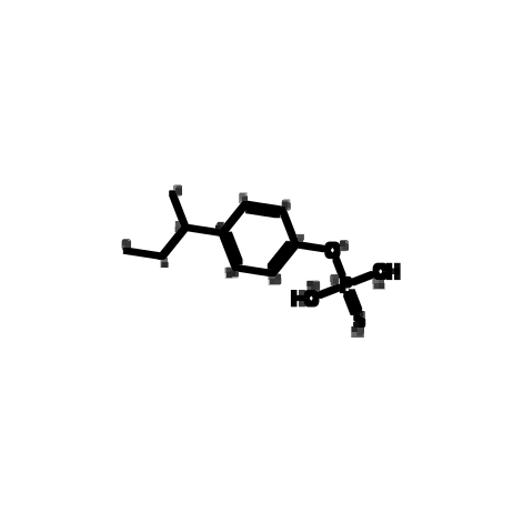 CCC(C)c1ccc(OP(O)(O)=S)cc1